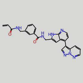 C=CC(=O)NCc1cccc(C(=O)NCc2cc3c(-c4cnn5ncccc45)ccnc3[nH]2)c1